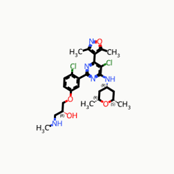 CNC[C@@H](O)COc1ccc(Cl)c(-c2nc(N[C@H]3C[C@@H](C)O[C@@H](C)C3)c(Cl)c(-c3c(C)noc3C)n2)c1